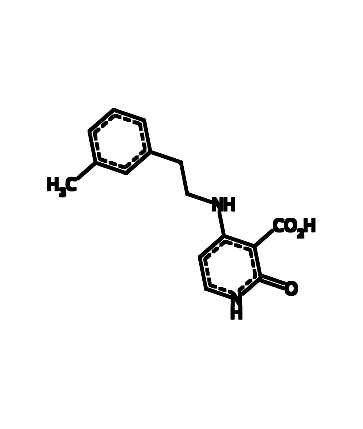 Cc1cccc(CCNc2cc[nH]c(=O)c2C(=O)O)c1